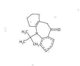 CC(C)(C)N1C2=C(CCCC2)CC(=O)c2ccccc21